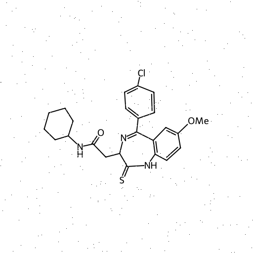 COc1ccc2c(c1)C(c1ccc(Cl)cc1)=NC(CC(=O)NC1CCCCC1)C(=S)N2